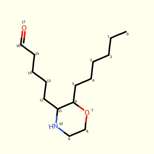 CCCCCCC1OCCNC1CCCC[C]=O